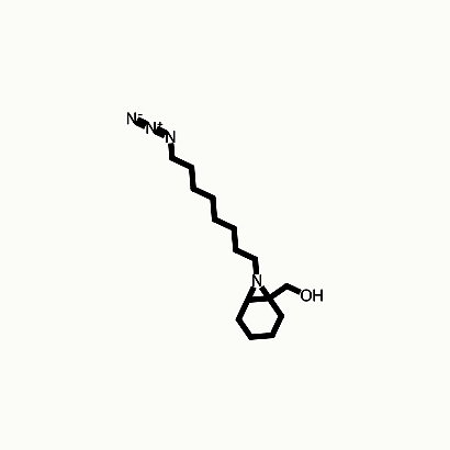 [N-]=[N+]=NCCCCCCCCN1C2CCCCC21CO